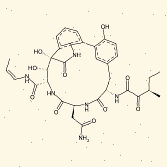 C/C=C\NC(=O)[C@H]1NC(=O)[C@H](CC(N)=O)NC(=O)[C@@H](NC(=O)C(=O)[C@H](C)CC)Cc2ccc(O)c(c2)-c2cccc3c2NC(=O)[C@@]3(O)[C@H]1O